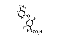 Nc1cc(Oc2cc(F)c(NC(=O)O)cc2F)ncn1